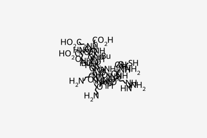 CC[C@H](C)[C@H](NC(=O)[C@H](CC(N)=O)NC(=O)[C@H](CCCCN)NC(=O)[C@H](CCCCN)NC(=O)[C@@H](NC(=O)[C@@H](NC(=O)[C@H](CCCNC(=N)N)NC(=O)[C@H](CO)NC(=O)[C@@H](N)CS)[C@@H](C)O)C(C)C)C(=O)N[C@H](C(=O)N[C@@H](CCC(=O)O)C(=O)N[C@@H](CCC(=O)O)C(=O)N[C@@H](CC(N)=O)C(=O)O)[C@@H](C)CC